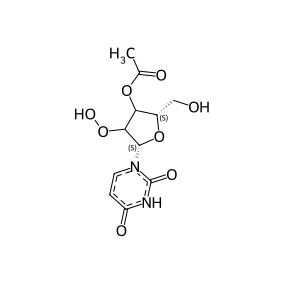 CC(=O)OC1C(OO)[C@@H](n2ccc(=O)[nH]c2=O)O[C@H]1CO